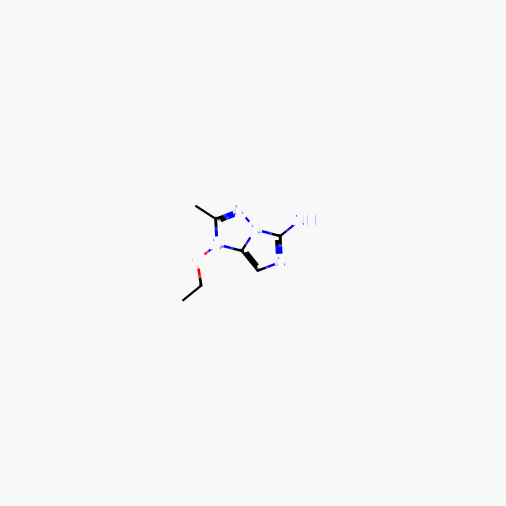 CCOn1c(C)nn2c(N)ncc12